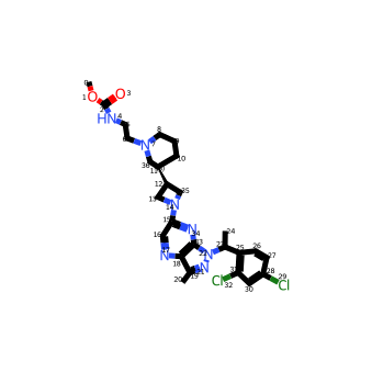 COC(=O)NCCN1CCC[C@@H](C2CN(c3cnc4c(C)nn(C(C)c5ccc(Cl)cc5Cl)c4n3)C2)C1